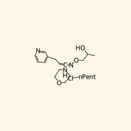 C1COCCN1.CC(O)CON=C=CCc1cccnc1.CCCCCCl